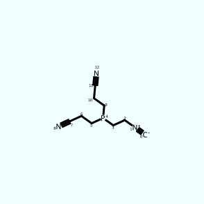 [C-]#[N+]CCP(CCC#N)CCC#N